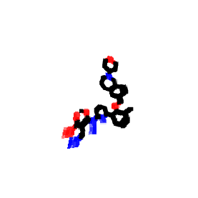 CO/C(Nc1cccc(-c2cccc(C)c2OCc2ccc3c(c2)CCCN(C2CCOCC2)C3)n1)=C(/C=N)C(=O)O